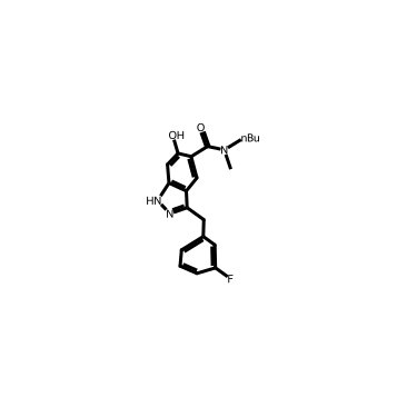 CCCCN(C)C(=O)c1cc2c(Cc3cccc(F)c3)n[nH]c2cc1O